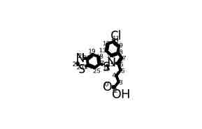 O=C(O)CCCc1cc2cc(Cl)ccc2n1Sc1ccc2ncsc2c1